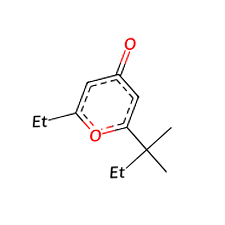 CCc1cc(=O)cc(C(C)(C)CC)o1